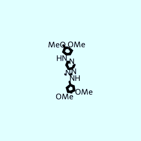 COc1ccc(CNc2nc3cnc(Nc4ccc(OC)c(OC)c4)cc3n2C)cc1OC